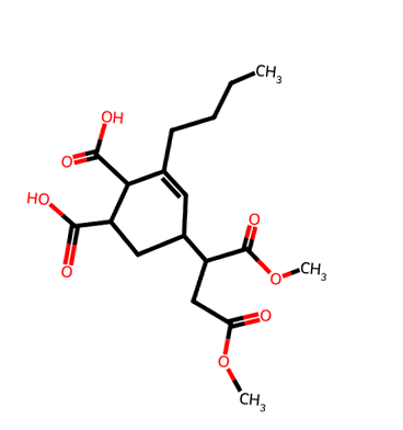 CCCCC1=CC(C(CC(=O)OC)C(=O)OC)CC(C(=O)O)C1C(=O)O